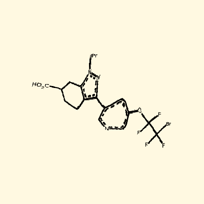 CC(C)n1nc(-c2cncc(OC(F)(F)C(F)(F)Br)c2)c2c1CC(C(=O)O)CC2